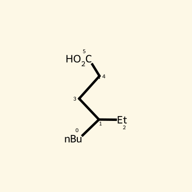 CCCCC(CC)C[CH]C(=O)O